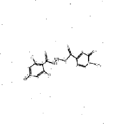 Cn1ccc(C(=O)ONNC(=O)c2c(Cl)cc(Cl)cc2Cl)cc1=O